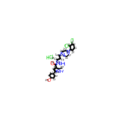 COc1ccc(-c2cc(C(=O)NCCCN3CCN(c4cccc(Cl)c4Cl)CC3)c(C)[nH]2)cc1.Cl